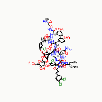 CN[C@H](CC(C)C)C(=O)N[C@H]1C(=O)N[C@@H](CC(N)=O)C(=O)N[C@H]2C(=O)N[C@H]3C(=O)N[C@H](C(=O)N[C@@H](C(=O)NOCC(=O)NC#N)c4cc(O)cc(O)c4-c4cc3ccc4O)[C@H](O)c3ccc(c(Cl)c3)Oc3cc2cc(c3O[C@@H]2O[C@H](CO)[C@@H](O)[C@H](O)[C@H]2O[C@H]2C[C@](C)(NCCn3ccc(NC(=O)/C=C/c4ccc(Cl)c(Cl)c4)nc3=O)[C@H](O)[C@H](C)O2)Oc2ccc(cc2Cl)[C@H]1O